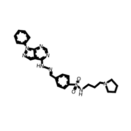 O=S(=O)(NCCCN1CCCC1)c1ccc(C=NNc2ncnc3c2cnn3-c2ccccc2)cc1